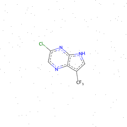 FC(F)(F)c1c[nH]c2nc(Cl)cnc12